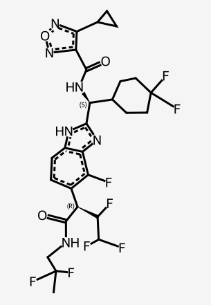 CC(F)(F)CNC(=O)[C@@H](c1ccc2[nH]c([C@@H](NC(=O)c3nonc3C3CC3)C3CCC(F)(F)CC3)nc2c1F)C(F)C(F)F